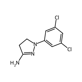 NC1=NN(c2cc(Cl)cc(Cl)c2)CC1